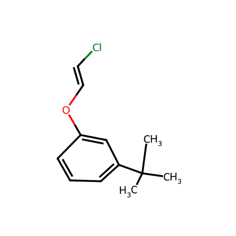 CC(C)(C)c1cccc(O/C=C/Cl)c1